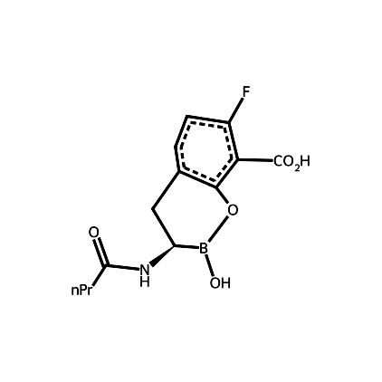 CCCC(=O)N[C@H]1Cc2ccc(F)c(C(=O)O)c2OB1O